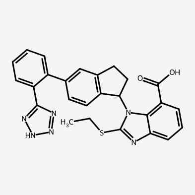 CCSc1nc2cccc(C(=O)O)c2n1C1CCc2cc(-c3ccccc3-c3nn[nH]n3)ccc21